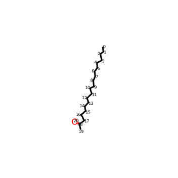 CCCCCCCCCCCCCCCCCCC(C)=O